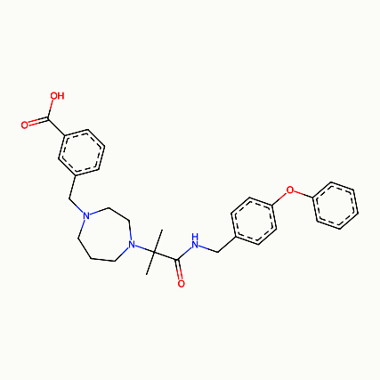 CC(C)(C(=O)NCc1ccc(Oc2ccccc2)cc1)N1CCCN(Cc2cccc(C(=O)O)c2)CC1